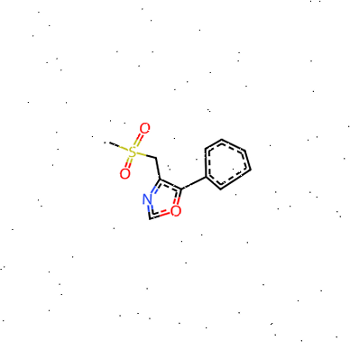 [CH2]S(=O)(=O)Cc1ncoc1-c1ccccc1